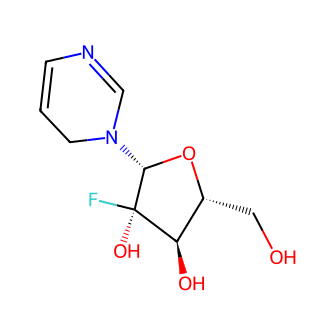 OC[C@H]1O[C@@H](N2C=NC=CC2)[C@](O)(F)[C@@H]1O